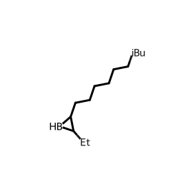 CCC(C)CCCCCCC1BC1CC